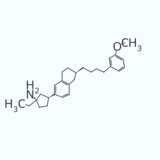 CC[C@@]1(N)CC[C@H](c2ccc3c(c2)CC[C@@H](CCCCc2cccc(OC)c2)C3)C1